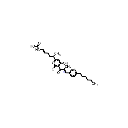 CCCCCCc1ccc(/C=C(\C)C(=O)c2c(O)cc(C(C)CCC=CNC(=O)O)oc2=O)cn1